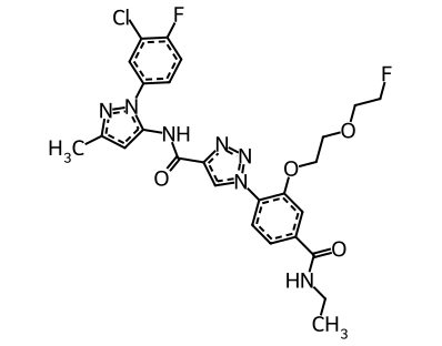 CCNC(=O)c1ccc(-n2cc(C(=O)Nc3cc(C)nn3-c3ccc(F)c(Cl)c3)nn2)c(OCCOCCF)c1